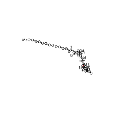 CCC(=O)OC1(C(=O)COCNC(=O)CNC(=O)CNC(=O)[C@H](C)NC(=O)[C@H](CCCCNC(=O)CCOCCOCCOCCOCCOCCOCCOCCOCCOCCOCCOCCOC)NC(=O)CBr)[C@@H](C)C[C@H]2[C@@H]3CCC4=CC(=O)C=C[C@]4(C)[C@@]3(Cl)[C@@H](O)C[C@@]21C